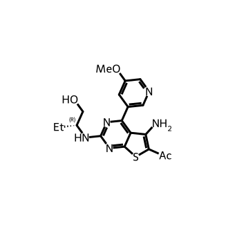 CC[C@H](CO)Nc1nc(-c2cncc(OC)c2)c2c(N)c(C(C)=O)sc2n1